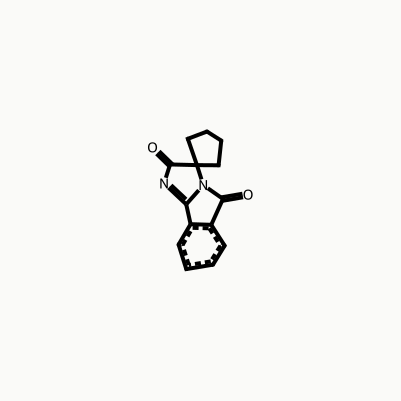 O=C1c2ccccc2C2=NC(=O)C3(CCCC3)N12